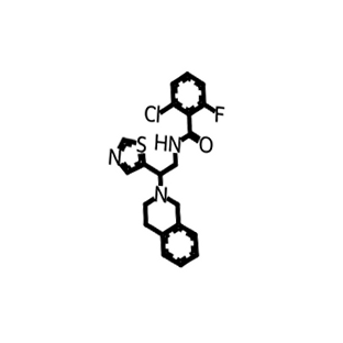 O=C(NCC(c1cncs1)N1CCc2ccccc2C1)c1c(F)cccc1Cl